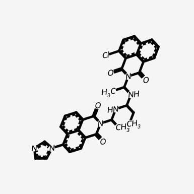 CCC(NC(C)N1C(=O)c2cccc3ccc(Cl)c(c23)C1=O)NC(C)N1C(=O)c2cccc3c(-n4ccnc4)ccc(c23)C1=O